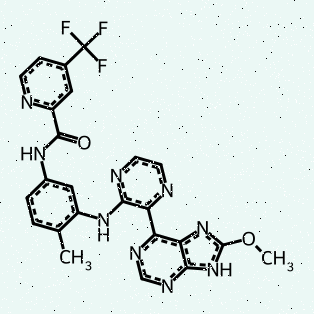 COc1nc2c(-c3nccnc3Nc3cc(NC(=O)c4cc(C(F)(F)F)ccn4)ccc3C)ncnc2[nH]1